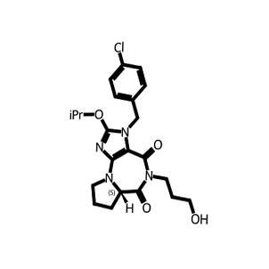 CC(C)Oc1nc2c(n1Cc1ccc(Cl)cc1)C(=O)N(CCCO)C(=O)[C@@H]1CCCN21